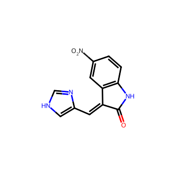 O=C1Nc2ccc([N+](=O)[O-])cc2C1=Cc1c[nH]cn1